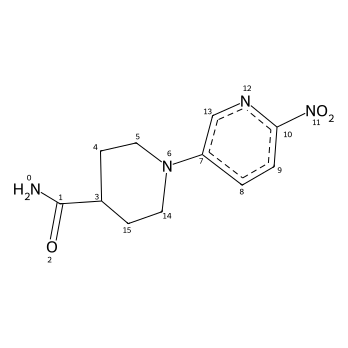 NC(=O)C1CCN(c2ccc([N+](=O)[O-])nc2)CC1